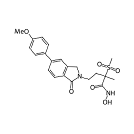 COc1ccc(-c2ccc3c(c2)CN(CCC(C)(C(=O)NO)S(C)(=O)=O)C3=O)cc1